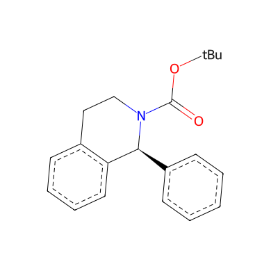 CC(C)(C)OC(=O)N1CCc2ccccc2[C@@H]1c1ccccc1